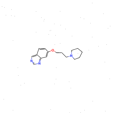 c1ncc2ccc(OCCCN3CCCCC3)cc2n1